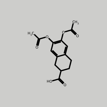 CC(=O)Oc1cc2c(cc1OC(C)=O)CC(C(=O)O)CC2